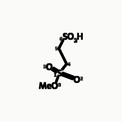 COS(=O)(=O)CCS(=O)(=O)O